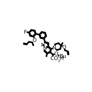 C=CCOC1(C)CCN(c2c(C(OC(C)(C)C)C(=O)O)c(C)cn3nc(-c4cccc(-c5ccc(F)cc5OC(C)CC=C)c4)cc23)CC1